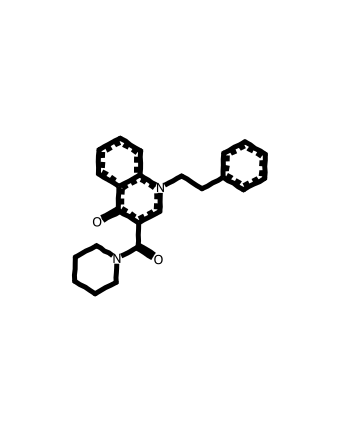 O=C(c1cn(CCc2ccccc2)c2ccccc2c1=O)N1CCCCC1